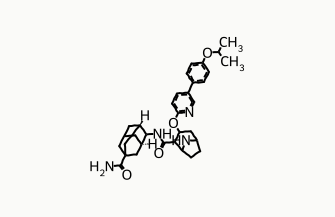 CC(C)Oc1ccc(-c2ccc(OC3CC4CCC(N4)C3C(=O)NC3[C@@H]4CC5C[C@H]3CC(C(N)=O)(C5)C4)nc2)cc1